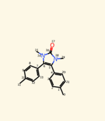 Cc1ccc(-c2c(-c3ccc(C)cc3)n(C)c(=O)n2C)cc1